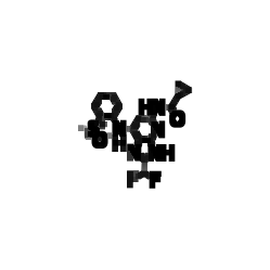 C[S@@+]([O-])c1ccccc1Nc1cc(NC(=O)C2CC2)nc2[nH]c(C(F)F)nc12